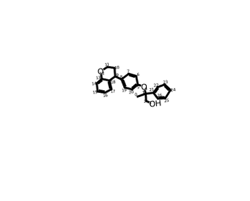 CC(CO)(Oc1ccc(C2CCOc3ccccc32)cc1)c1ccccc1